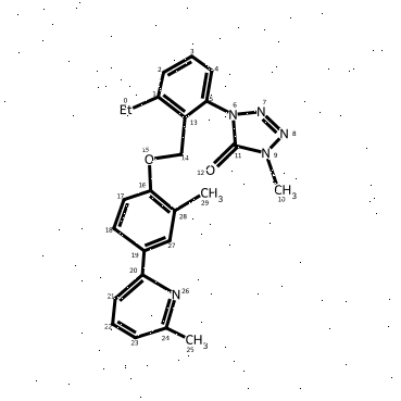 CCc1cccc(-n2nnn(C)c2=O)c1COc1ccc(-c2cccc(C)n2)cc1C